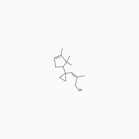 CC(=CC1(C2CC=C(C)C2(C)C)CC1)CO